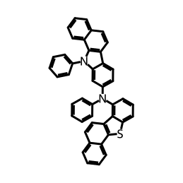 c1ccc(N(c2ccc3c4ccc5ccccc5c4n(-c4ccccc4)c3c2)c2cccc3sc4c5ccccc5ccc4c23)cc1